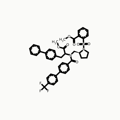 COC(=O)c1ccccc1S(=O)(=O)N1CCC[C@H]1CN(C(=O)c1ccc(-c2ccc(C(F)(F)F)cc2)cc1)C(Cc1ccc(-c2ccccc2)cc1)C(=O)OC